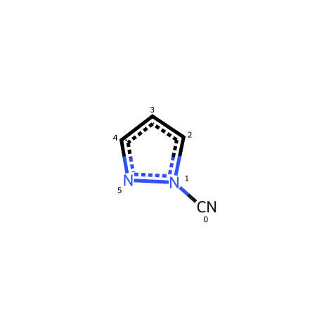 N#Cn1cc[c]n1